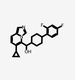 OC(c1c(C2CC2)ccc2cncn12)C1CCC(c2ccc(F)cc2F)CC1